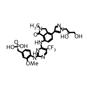 COc1cc(CP(=O)(O)O)ccc1Nc1ncc(C(F)(F)F)c(Nc2ccc(-c3cnn(C[C@H](O)CO)c3)c3c2C(=O)N(C)C3)n1